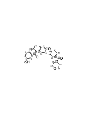 Cc1nc2ccc(S)cc2c(=O)n1-c1ccc(OC2CCN(C(=O)C3CCOCC3)CC2)cc1